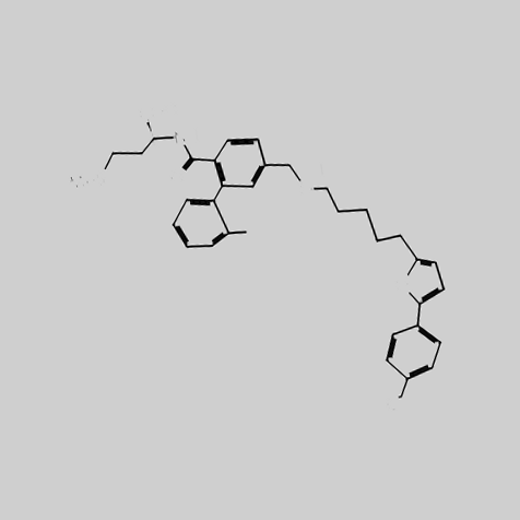 CSCC[C@H](NC(=O)c1ccc(COCCCCCc2ccc(-c3ccc(Cl)cc3)o2)cc1-c1ccccc1C)C(=O)[O-].[Li+]